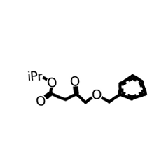 CC(C)OC(=O)CC(=O)COCc1ccccc1